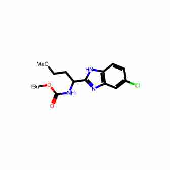 COCCC(NC(=O)OC(C)(C)C)c1nc2cc(Cl)ccc2[nH]1